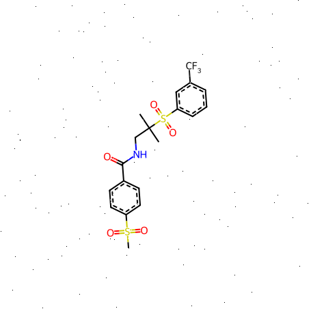 CC(C)(CNC(=O)c1ccc(S(C)(=O)=O)cc1)S(=O)(=O)c1cccc(C(F)(F)F)c1